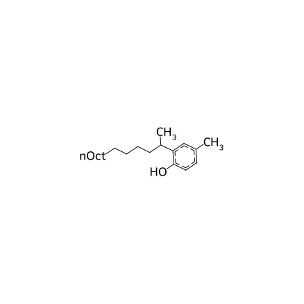 CCCCCCCCCCCCC(C)c1cc(C)ccc1O